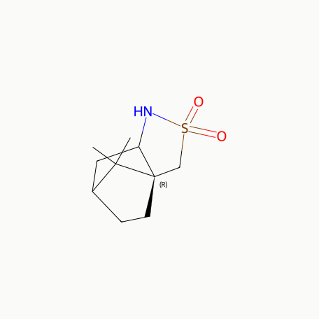 CC1(C)C2CC[C@@]13CS(=O)(=O)NC3C2